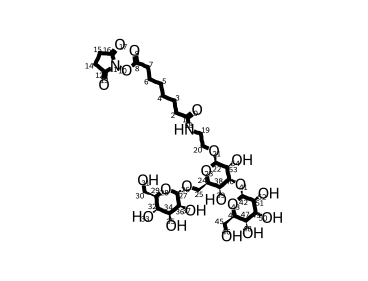 O=C(CCCCCCC(=O)ON1C(=O)CCC1=O)NCCO[C@@H]1O[C@H](CO[C@H]2O[C@H](CO)[C@@H](O)[C@H](O)[C@@H]2O)[C@@H](O)[C@H](O[C@H]2O[C@H](CO)[C@@H](O)[C@H](O)[C@@H]2O)[C@H]1O